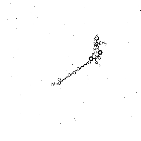 COC(=O)CCCCCOCCOCCOCCCCCCOc1ccc(F)c([C@H](C)NC(=O)c2cccc(NCc3nnc(-c4ccncn4)n3C)c2)c1